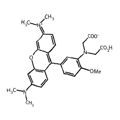 COc1ccc(-c2c3ccc(=[N+](C)C)cc-3oc3cc(N(C)C)ccc23)cc1N(CC(=O)[O-])CC(=O)O